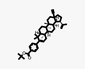 C#CC12CC[C@@H](C(=C)C)[C@@H]1[C@H]1CC[C@@H]3[C@@]4(C)CC=C(c5ccc(C(=O)OC(C)(C)C)cc5)C(C)(C)[C@@H]4CC[C@@]3(C)[C@]1(C)CC2